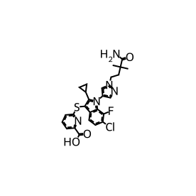 CC(C)(CCn1cc(-n2c(C3CC3)c(Sc3cccc(C(=O)O)n3)c3ccc(Cl)c(F)c32)cn1)C(N)=O